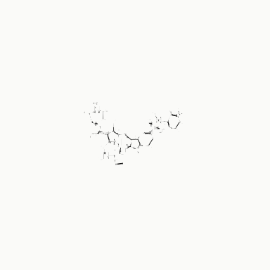 C=CC(=O)N(C)Cc1[nH]c(/C=C2\C(=O)Nc3ccc(S(=O)(=O)N(C)c4cccc(Cl)c4)cc32)c(C)c1C(=O)N1CCN(C)CC1